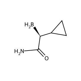 B[C@H](C(N)=O)C1CC1